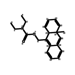 CCN(CC)C(=O)OCC1=c2ccccc2=CC2(C)C=CC=CC12